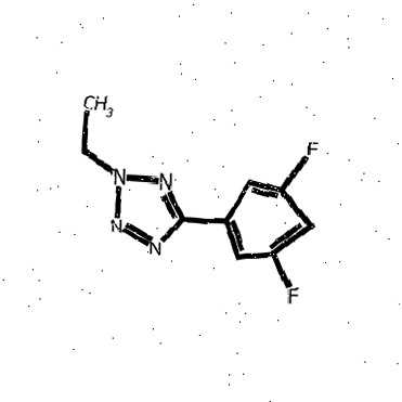 CCn1nnc(-c2cc(F)cc(F)c2)n1